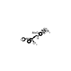 COc1cc(S(=O)(=O)N(C)C)ccc1NCC#Cc1cc2c(NC3CCOCC3)cccc2n1CC(F)(F)F